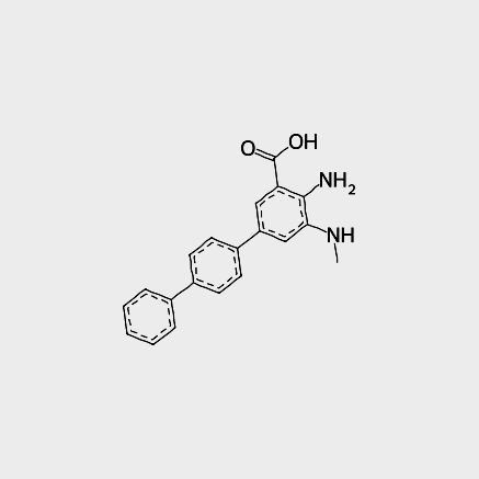 CNc1cc(-c2ccc(-c3ccccc3)cc2)cc(C(=O)O)c1N